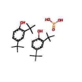 CC(C)(C)c1ccc(O)c(C(C)(C)C)c1.CC(C)(C)c1ccc(O)c(C(C)(C)C)c1.O=[PH](O)O